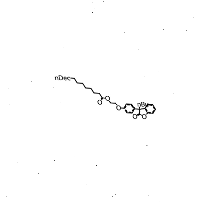 CCCCCCCCCCCCCCCCCC(=O)OCCOc1ccc(C2(CCCC)C(=O)Oc3ccccc32)cc1